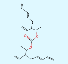 C=C/C=C/CC(C=C)C(C)OC(=O)OC(C)C(C=C)C/C=C/C=C